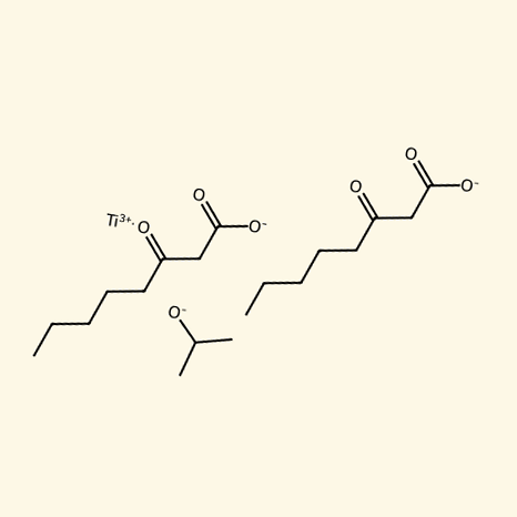 CC(C)[O-].CCCCCC(=O)CC(=O)[O-].CCCCCC(=O)CC(=O)[O-].[Ti+3]